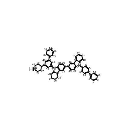 c1ccc(-c2ccc(-n3c4ccccc4c4cc(-c5ccc6c(c5)C5CCCCC5N6c5cc(-c6ccncc6)cc(C6CCNCC6)c5)ccc43)cc2)cc1